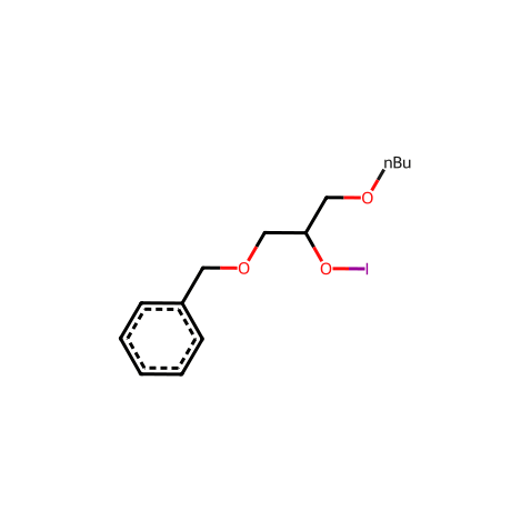 CCCCOCC(COCc1ccccc1)OI